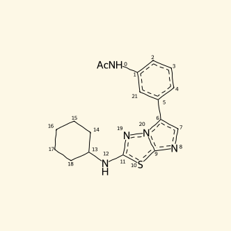 CC(=O)Nc1cccc(-c2cnc3sc(NC4CCCCC4)nn23)c1